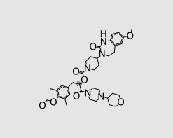 COc1ccc2c(c1)CCN(C1CCN(C(=O)O[C@H](Cc3cc(C)c(OC=O)c(C)c3)C(=O)N3CCN(C4CCOCC4)CC3)CC1)C(=O)N2